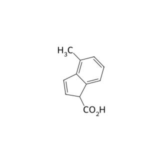 Cc1cccc2c1C=CC2C(=O)O